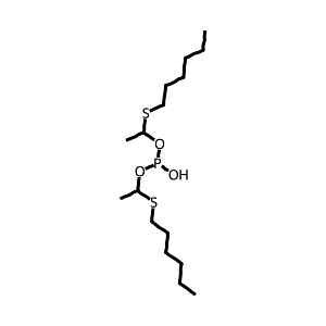 CCCCCCSC(C)OP(O)OC(C)SCCCCCC